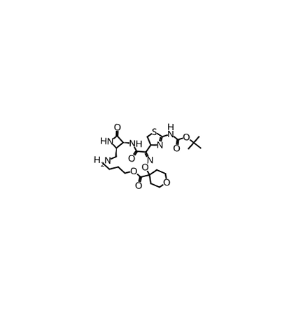 CCCCOC(=O)C1(O/N=C(\C(=O)N[C@@H]2C(=O)N[C@@H]2CN)C2CSC(NC(=O)OC(C)(C)C)=N2)CCOCC1